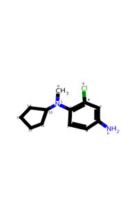 CN(c1ccc(N)cc1Cl)C1CCCC1